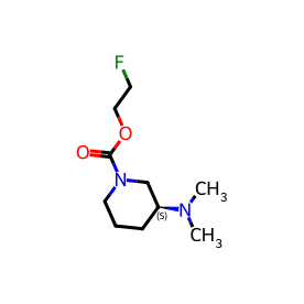 CN(C)[C@H]1CCCN(C(=O)OCCF)C1